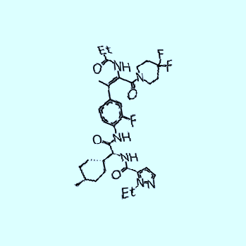 CCC(=O)N/C(C(=O)N1CCC(F)(F)CC1)=C(\C)c1ccc(NC(=O)[C@@H](NC(=O)c2ccnn2CC)[C@H]2CC[C@H](C)CC2)c(F)c1